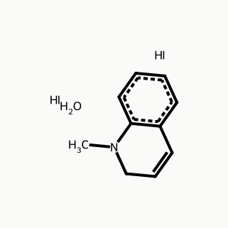 CN1CC=Cc2ccccc21.I.I.O